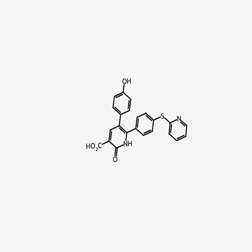 O=C(O)c1cc(-c2ccc(O)cc2)c(-c2ccc(Sc3ccccn3)cc2)[nH]c1=O